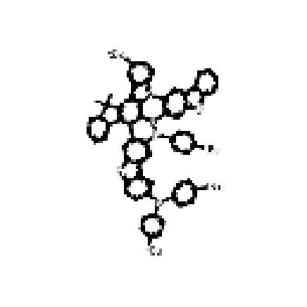 CC(C)(C)c1ccc(N2B3c4cc5oc6ccccc6c5cc4-n4c5ccc(C(C)(C)C)cc5c5c6c(c(c3c54)-c3cc4sc5ccc(N(c7ccc(C(C)(C)C)cc7)c7ccc(C(C)(C)C)cc7)cc5c4cc32)-c2ccccc2C6(C)C)cc1